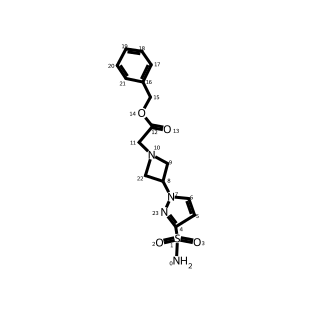 NS(=O)(=O)c1ccn(C2CN(CC(=O)OCc3ccccc3)C2)n1